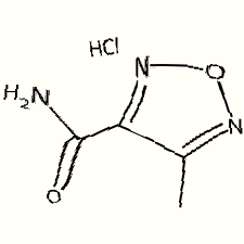 Cc1nonc1C(N)=O.Cl